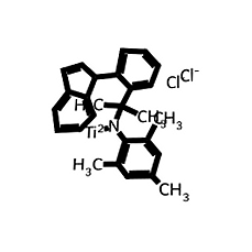 Cc1cc(C)c([N]([Ti+2])C(C)(C)c2ccccc2C2C=Cc3ccccc32)c(C)c1.[Cl-].[Cl-]